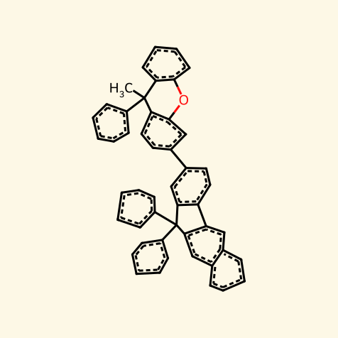 CC1(c2ccccc2)c2ccccc2Oc2cc(-c3ccc4c(c3)C(c3ccccc3)(c3ccccc3)c3cc5ccccc5cc3-4)ccc21